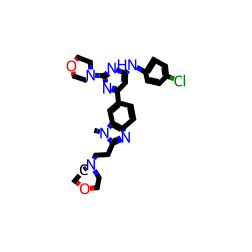 Cn1c(CCN2CCOCC2)nc2ccc(-c3cc(Nc4ccc(Cl)cc4)nc(N4CCOCC4)n3)cc21